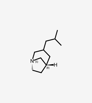 CC(C)CC1C[C@@H]2CC[N@](C1)C2